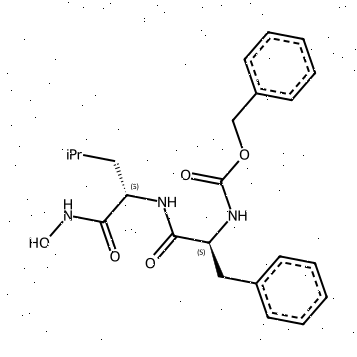 CC(C)C[C@H](NC(=O)[C@H](Cc1ccccc1)NC(=O)OCc1ccccc1)C(=O)NO